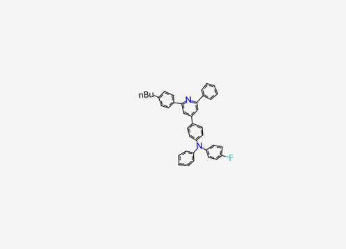 CCCCc1ccc(-c2cc(-c3ccc(N(c4ccccc4)c4ccc(F)cc4)cc3)cc(-c3ccccc3)n2)cc1